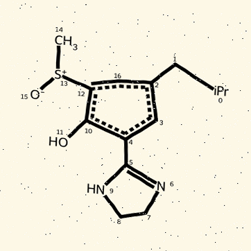 CC(C)Cc1cc(C2=NCCN2)c(O)c([S+](C)[O-])c1